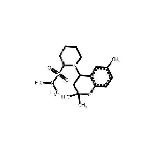 Cc1ccc2c(c1)C(N1CCCCC1S(=O)(=O)N(C)C)CC(C)(C)O2